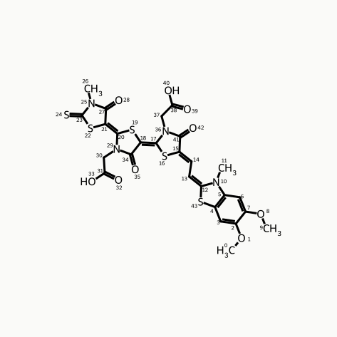 COc1cc2c(cc1OC)N(C)C(=CC=c1s/c(=c3/s/c(=C4/SC(=S)N(C)C4=O)n(CC(=O)O)c3=O)n(CC(=O)O)c1=O)S2